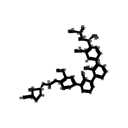 COc1nc(-c2cccc(-c3cccc(-c4cnc([C@@H](C)N[S@+]([O-])C(C)(C)C)c(OC)n4)c3Cl)c2Cl)cnc1CNC[C@@H]1CCC(=O)N1